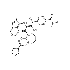 CCN(C)C(=O)c1ccc(C(=O)C(C#N)=C(Nc2c(C)cc3coccc2-3)N[C@H]2CCCCN(CC(=O)N3CCCC3)C2=O)cc1